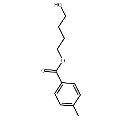 O=C(OCCCCO)c1ccc(I)cc1